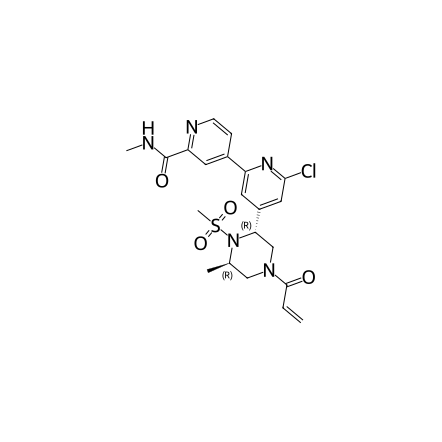 C=CC(=O)N1C[C@@H](C)N(S(C)(=O)=O)[C@H](c2cc(Cl)nc(-c3ccnc(C(=O)NC)c3)c2)C1